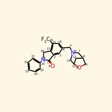 O=C1c2cc(CN3CC4COC(C4)C3)cc(C(F)(F)F)c2CN1c1ccccc1